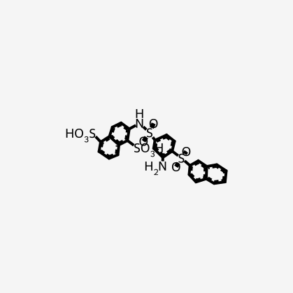 Nc1cc(S(=O)(=O)Nc2ccc3c(S(=O)(=O)O)cccc3c2S(=O)(=O)O)ccc1S(=O)(=O)c1ccc2ccccc2c1